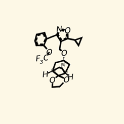 FC(F)(F)Oc1ccccc1-c1noc(C2CC2)c1CO[C@@H]1C[C@H]2CC[C@@H](C1)C21OCCO1